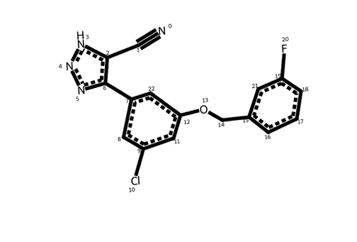 N#Cc1[nH]nnc1-c1cc(Cl)cc(OCc2cccc(F)c2)c1